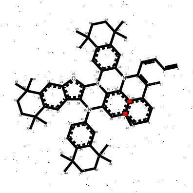 C=C/C=C\C(=C(/C)c1ccccc1)N1c2cc3c(cc2B2c4oc5cc6c(cc5c4N(c4ccc5c(c4)C(C)(C)CCC5(C)C)c4cc(C)cc1c42)C(C)(C)CCC6(C)C)C(C)(C)CCC3(C)C